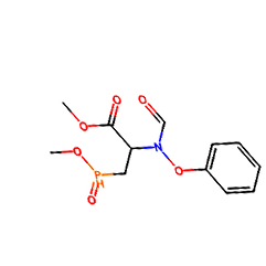 COC(=O)C(C[PH](=O)OC)N(C=O)Oc1ccccc1